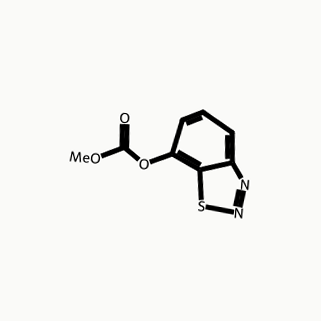 COC(=O)Oc1cccc2nnsc12